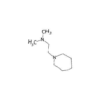 CN(C)CCN1CCCCC1